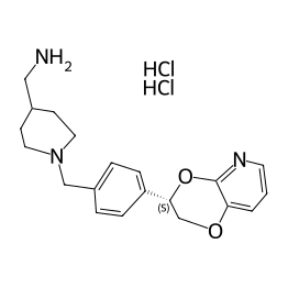 Cl.Cl.NCC1CCN(Cc2ccc([C@H]3COc4cccnc4O3)cc2)CC1